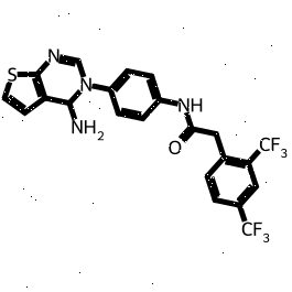 NC1c2ccsc2N=CN1c1ccc(NC(=O)Cc2ccc(C(F)(F)F)cc2C(F)(F)F)cc1